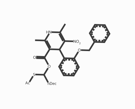 CCCCCCCCCCC(OC(=O)C1=C(C)NC(C)=C([N+](=O)[O-])C1c1ccccc1OCc1ccccc1)SC(C)=O